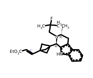 CCOC(=O)/C=C/C12CC([C@@H]3c4[nH]c5ccccc5c4C[C@@H](C)N3CC(C)(C)F)(C1)C2